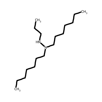 CCCCCCCN(CCCCCCC)NCCC